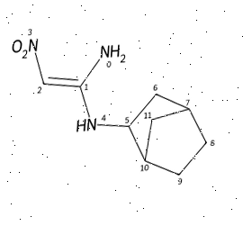 NC(=C[N+](=O)[O-])NC1CC2CCC1C2